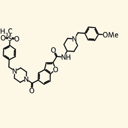 COc1ccc(CN2CCC(NC(=O)c3cc4cc(C(=O)N5CCN(Cc6ccc(S(C)(=O)=O)cc6)CC5)ccc4o3)CC2)cc1